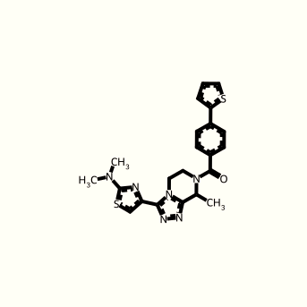 CC1c2nnc(-c3csc(N(C)C)n3)n2CCN1C(=O)c1ccc(-c2cccs2)cc1